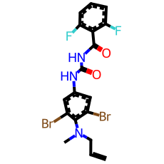 C=CCN(C)c1c(Br)cc(NC(=O)NC(=O)c2c(F)cccc2F)cc1Br